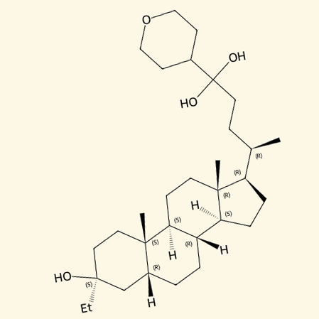 CC[C@]1(O)CC[C@@]2(C)[C@H](CC[C@@H]3[C@@H]2CC[C@]2(C)[C@@H]([C@H](C)CCC(O)(O)C4CCOCC4)CC[C@@H]32)C1